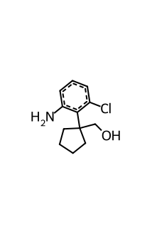 Nc1cccc(Cl)c1C1(CO)CCCC1